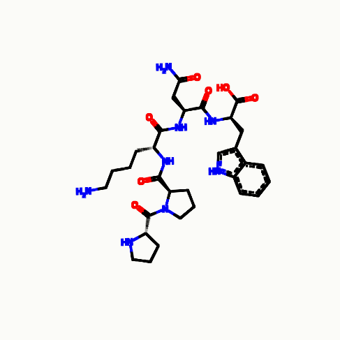 NCCCC[C@@H](NC(=O)[C@H]1CCCN1C(=O)[C@@H]1CCCN1)C(=O)N[C@@H](CC(N)=O)C(=O)N[C@H](Cc1c[nH]c2ccccc12)C(=O)O